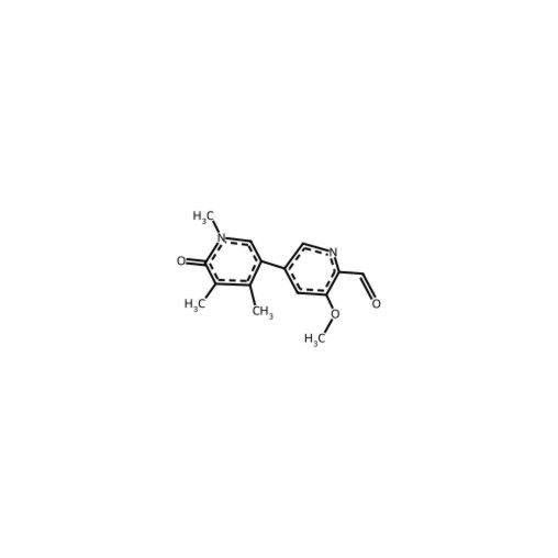 COc1cc(-c2cn(C)c(=O)c(C)c2C)cnc1C=O